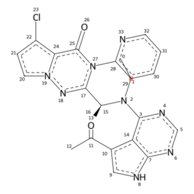 CCN(c1ncnc2[nH]cc(C(C)=O)c12)[C@@H](C)c1nn2ccc(Cl)c2c(=O)n1-c1ccccn1